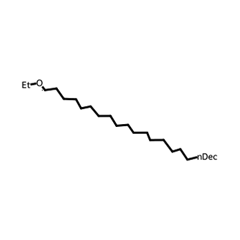 CCCCCCCCCCCCCCCCCCCCCCCCCC[CH]OCC